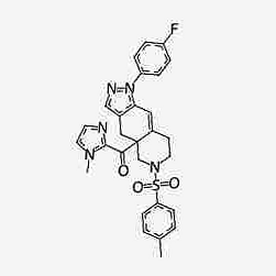 Cc1ccc(S(=O)(=O)N2CCC3=Cc4c(cnn4-c4ccc(F)cc4)CC3(C(=O)c3nccn3C)C2)cc1